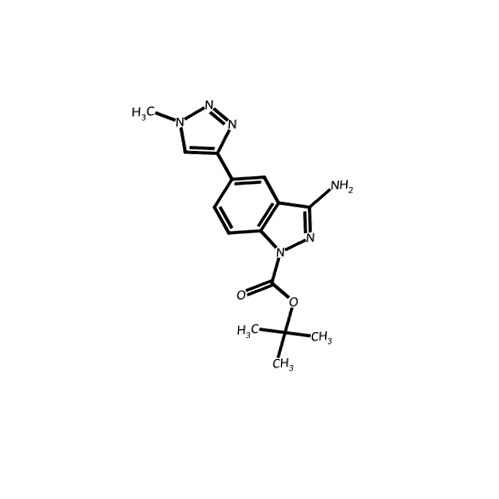 Cn1cc(-c2ccc3c(c2)c(N)nn3C(=O)OC(C)(C)C)nn1